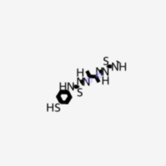 CNC(=S)N/N=C(C)/C(C)=N/NC(=S)Nc1ccc(S)cc1